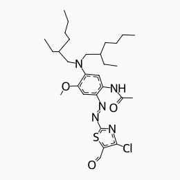 CCCCC(CC)CN(CC(CC)CCCC)c1cc(NC(C)=O)c(/N=N/c2nc(Cl)c(C=O)s2)cc1OC